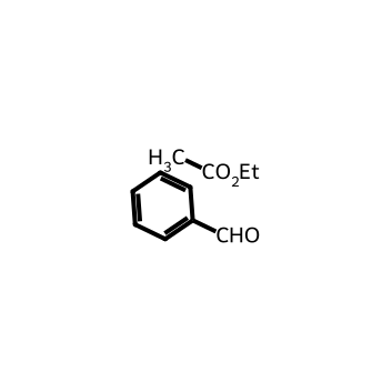 CCOC(C)=O.O=Cc1ccccc1